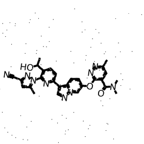 Cc1cc(C(=O)N(C)C)c(Oc2ccc3c(-c4ccc(C(C)O)c(-n5nc(C#N)cc5C)n4)cnn3c2)nn1